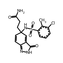 Cc1c(Cl)cccc1S(=O)(=O)NC1(CCC(N)=O)C=CC2=NNC(=O)C2=C1